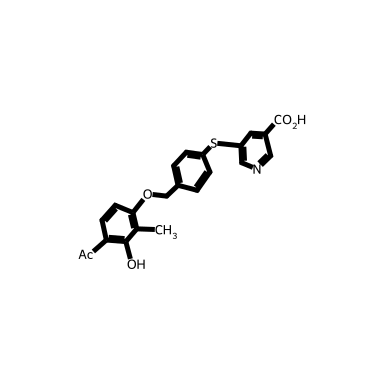 CC(=O)c1ccc(OCc2ccc(Sc3cncc(C(=O)O)c3)cc2)c(C)c1O